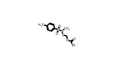 Cc1ccc(S(=O)(=O)N(C)SCOC(=O)C(C)C)cc1